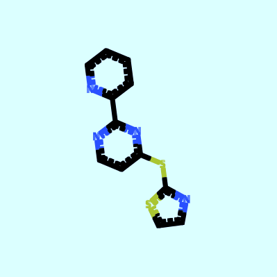 c1ccc(-c2nccc(Sc3nccs3)n2)nc1